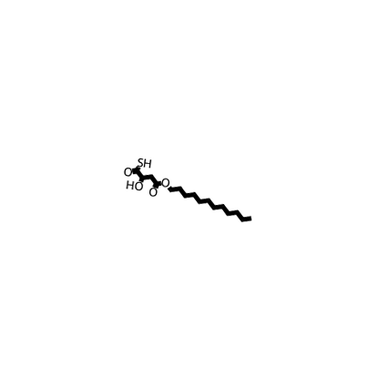 CCCCCCCCCCCCOC(=O)CC(O)C(=O)S